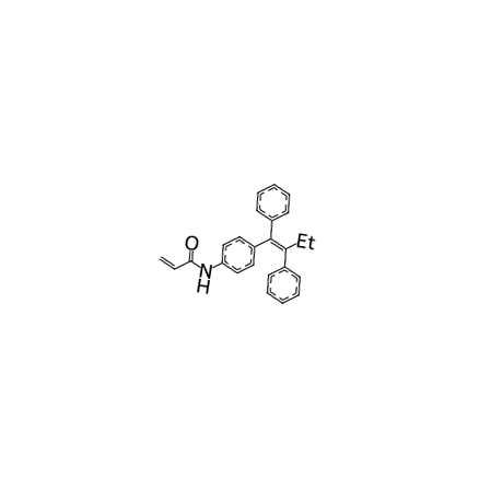 C=CC(=O)Nc1ccc(C(=C(CC)c2ccccc2)c2ccccc2)cc1